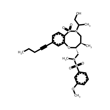 CCCC#Cc1ccc2c(c1)O[C@@H](CN(C)S(=O)(=O)c1cccc(OC)c1)[C@H](C)CN(C(C)CO)S2(=O)=O